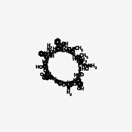 CCCC[C@H]1C(=O)N[C@@H](CC(C)C)C(=O)N[C@H](C(=O)NCC(N)=O)CSCC(=O)N[C@@H](Cc2ccc(O)cc2)C(=O)N(C)[C@@H](C)C(=O)N[C@@H](CC(N)=O)C(=O)N2CCC[C@H]2C(=O)N[C@@H](Cc2cnc[nH]2)C(=O)N[C@@H](CCC(=O)O)C(=O)N2C[C@H](O)C[C@H]2C(=O)N[C@@H](Cc2c[nH]c3ccccc23)C(=O)N[C@@H](CCN)C(=O)N[C@@H](Cc2c[nH]c3ccccc23)C(=O)N(CCO)CC(=O)N1C